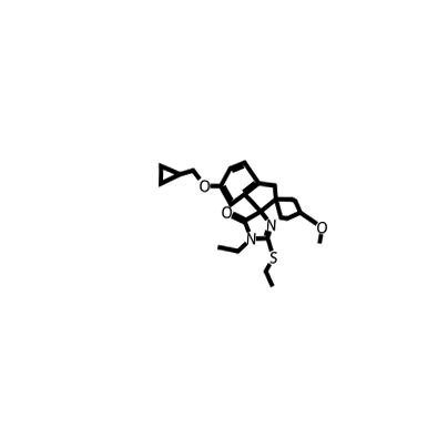 CCSC1=NC2(C(=O)N1CC)c1cc(OCC3CC3)ccc1CC21CCC(OC)CC1